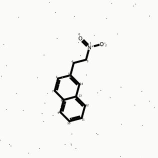 O=[N+]([O-])CCc1ccc2ccccc2c1